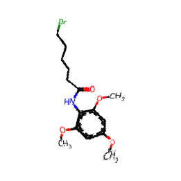 COc1cc(OC)c(NC(=O)CCCCCBr)c(OC)c1